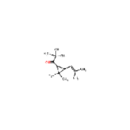 CC(C)=CC1C(C(=O)C(C)(C)C)C1(C)C